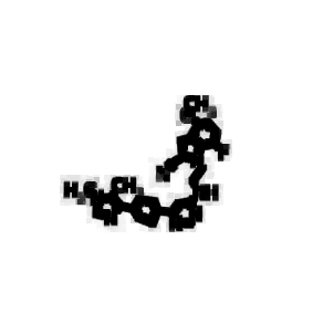 COc1ccc(F)c2c1cc(C#N)n2CCNc1cc(-c2ccc(-c3ncn(C)c3C)cc2)ncn1